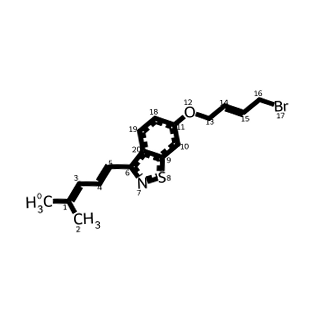 CC(C)=CC=Cc1nsc2cc(OCC=CCBr)ccc12